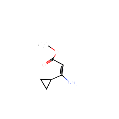 COC(=O)/C=C(/N)C1CC1